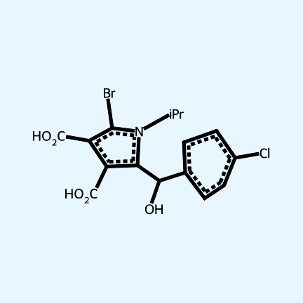 CC(C)n1c(Br)c(C(=O)O)c(C(=O)O)c1C(O)c1ccc(Cl)cc1